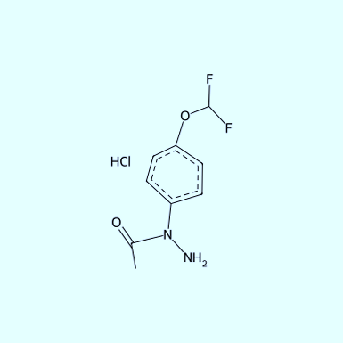 CC(=O)N(N)c1ccc(OC(F)F)cc1.Cl